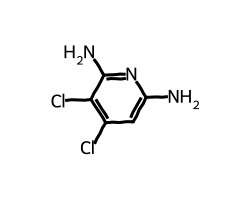 Nc1cc(Cl)c(Cl)c(N)n1